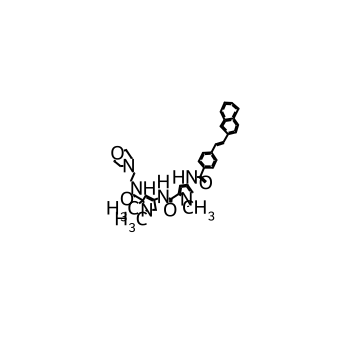 CN1CC(NC(=O)c2cc(NC(=O)c3ccc(C=Cc4ccc5ccccc5c4)cc3)cn2C)=CC1(C)C(=O)NCCN1CCOCC1